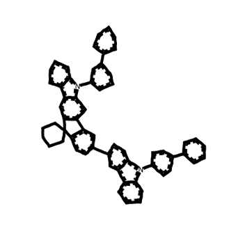 c1ccc(-c2ccc(-n3c4ccccc4c4cc(-c5ccc6c(c5)-c5cc7c(cc5C65CCCCC5)c5ccccc5n7-c5cccc(-c6ccccc6)c5)ccc43)cc2)cc1